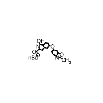 CCCCOC(=O)c1cc2cc(Oc3ccc4nc(C)oc4c3)ccc2c(O)n1